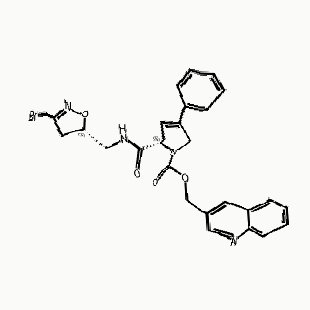 O=C(NC[C@@H]1CC(Br)=NO1)[C@@H]1C=C(c2ccccc2)CN1C(=O)OCc1cnc2ccccc2c1